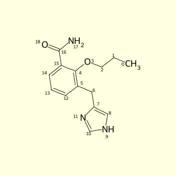 CCCOc1c(Cc2c[nH]cn2)cccc1C(N)=O